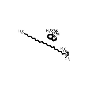 CCCCCCCCCCCCCCCCCCCCCCC1N(C)C=CN1C.COS(=O)(=O)O.c1ccc2ncccc2c1